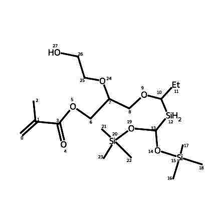 C=C(C)C(=O)OCC(COC(CC)[SiH2]C(O[Si](C)(C)C)O[Si](C)(C)C)OCCO